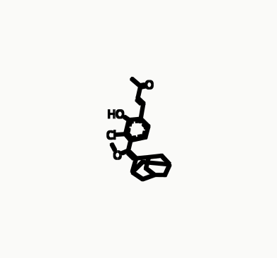 COC(=C1C2CC3CC(C2)CC1C3)c1ccc(/C=C/C(C)=O)c(O)c1Cl